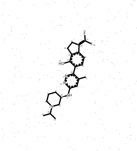 Cc1cc(N[C@@H]2CCCN(C(C)C)C2)nnc1-c1ccc2c(c1O)CCC2=C(F)F